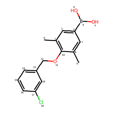 Cc1cc(B(O)O)cc(C)c1OCc1cccc(Cl)c1